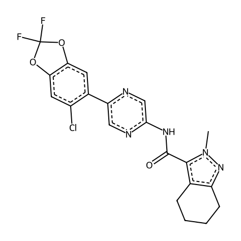 Cn1nc2c(c1C(=O)Nc1cnc(-c3cc4c(cc3Cl)OC(F)(F)O4)cn1)CCCC2